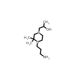 CC(O)CN1CCN(CCCN)C(C)(C)C1